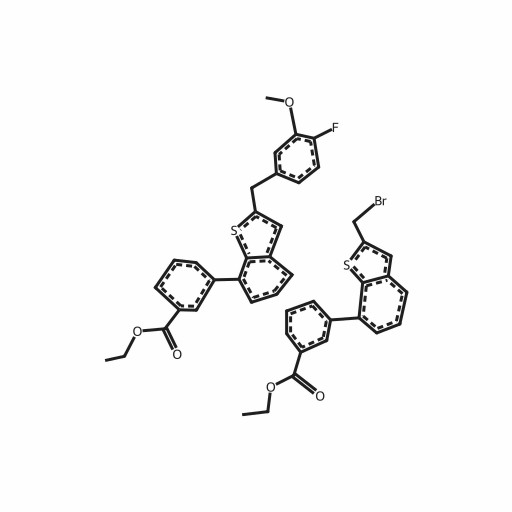 CCOC(=O)c1cccc(-c2cccc3cc(CBr)sc23)c1.CCOC(=O)c1cccc(-c2cccc3cc(Cc4ccc(F)c(OC)c4)sc23)c1